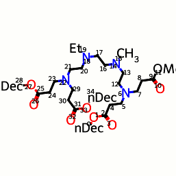 CCCCCCCCCCOC(=O)CCN(CCC(=O)OC)CCN(C)CCN(CC)CCN(CCC(=O)OCCCCCCCCCC)CCC(=O)OCCCCCCCCCC